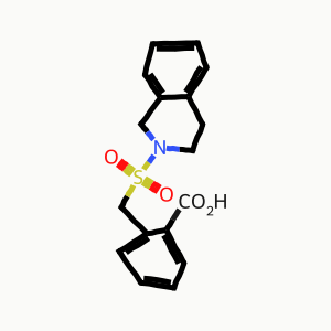 O=C(O)c1ccccc1CS(=O)(=O)N1CCc2ccccc2C1